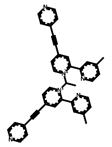 Cc1ccnc(-c2cc(C#Cc3ccncc3)cc[n+]2C(C)[n+]2ccc(C#Cc3ccncc3)cc2-c2cc(C)ccn2)c1